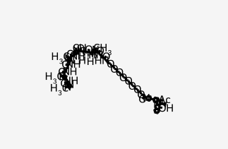 CC(=O)N1c2ccc(C3=CCN(C(=O)COCCOCCOCCOCCOCCOCCOCCOCCNC(=O)CCNC(=O)c4nc(NC(=O)CCNC(=O)c5cc(NC(=O)c6nc(NC(=O)CCNC(=O)c7cc(NC(=O)c8nccn8C)cn7C)cn6C)cn5C)cn4C)CC3)cc2N(Cc2ccccc2CO)C[C@@H]1C1CC1